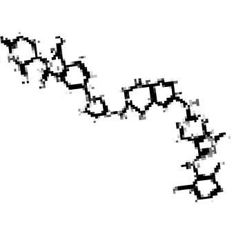 Cc1cccc(C)c1Nc1nn(C)c2nc(Nc3ccc4c(c3)CN(C[C@H]3CCN(c5ccc6c(c5)C(=O)N(C5CCC(=O)NC5=O)C6=O)C3)CC4)ncc12